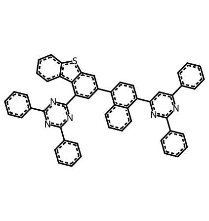 c1ccc(-c2cc(-c3ccc(-c4cc(-c5nc(-c6ccccc6)nc(-c6ccccc6)n5)c5c(c4)sc4ccccc45)c4ccccc34)nc(-c3ccccc3)n2)cc1